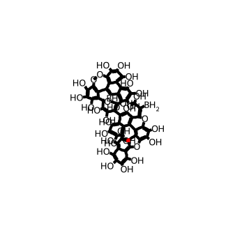 B/C(C(=C)O)=C1\Oc2c(O)c(O)c3oc4c5c(O)c(O)c(O)c(O)c5c(O)c(O)c4c3c2-c2c1c(O)c(C(/C(O)=C(/O)C(=O)c1c(O)c(O)c(O)c3c1-c1c(B)c4c(O)c(O)c(O)c(O)c4c4c(O)c(O)c(O)c(c14)OO3)=C(/C)O)c1c(O)c(O)c(O)c(O)c21